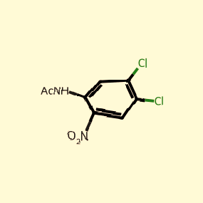 CC(=O)Nc1cc(Cl)c(Cl)cc1[N+](=O)[O-]